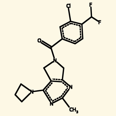 Cc1nc2c(c(N3CCC3)n1)CN(C(=O)c1ccc(C(F)F)c(Cl)c1)C2